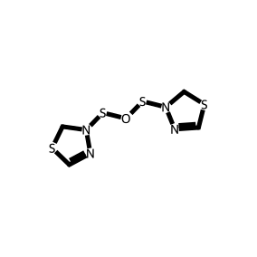 C1=NN(SOSN2CSC=N2)CS1